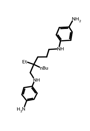 CCCCC(CC)(CCCNc1ccc(N)cc1)CNc1ccc(N)cc1